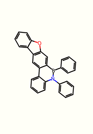 c1ccc(B2c3cc4oc5ccccc5c4cc3-c3ccccc3N2c2ccccc2)cc1